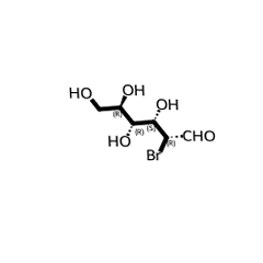 O=C[C@H](Br)[C@@H](O)[C@H](O)[C@H](O)CO